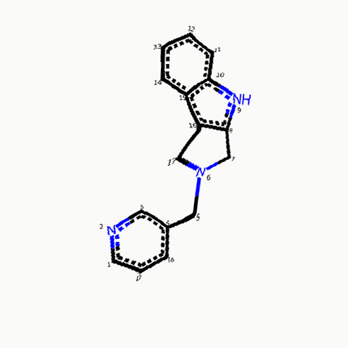 c1cncc(CN2Cc3[nH]c4ccccc4c3C2)c1